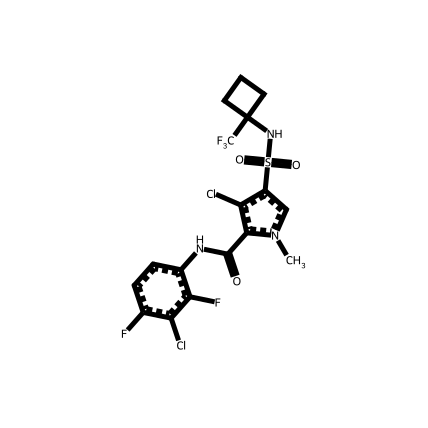 Cn1cc(S(=O)(=O)NC2(C(F)(F)F)CCC2)c(Cl)c1C(=O)Nc1ccc(F)c(Cl)c1F